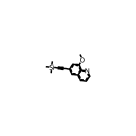 COc1cc(C#C[Si](C)(C)C)cc2cccnc12